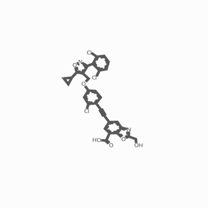 O=C(O)c1cc(C#Cc2ccc(OCc3c(-c4c(Cl)cccc4Cl)noc3C3CC3)cc2Cl)cc2nc(CO)oc12